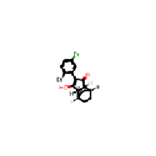 CCc1ccc(Br)cc1C1=C(O)[C@H]2[C@H]3CC[C@H](CC3)[C@H]2C1=O